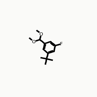 COC(OC)c1cc(F)cc(C(C)(C)C)c1